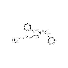 CCCCCC1=NN([C@@H]2C[C@H]2c2ccccc2)CC1c1ccccc1